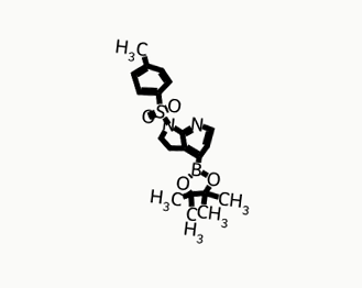 Cc1ccc(S(=O)(=O)N2CCc3c(B4OC(C)(C)C(C)(C)O4)ccnc32)cc1